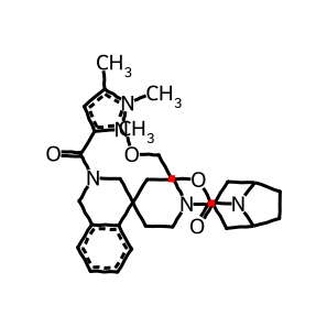 COCCOC(=O)N1C2CCC1CC(N1CCC3(CC1)CN(C(=O)c1cc(C)n(C)n1)Cc1ccccc13)C2